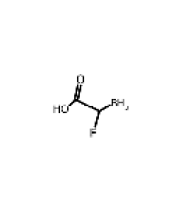 BC(F)C(=O)O